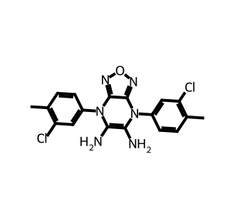 Cc1ccc(N2C(N)=C(N)N(c3ccc(C)c(Cl)c3)c3nonc32)cc1Cl